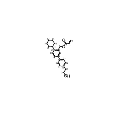 C=CC(=O)OCc1cc(-c2ccc(CCO)cc2)ccc1C1CCCCC1